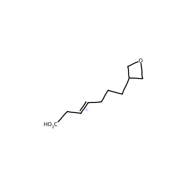 O=C(O)C/C=C/CCCC1COC1